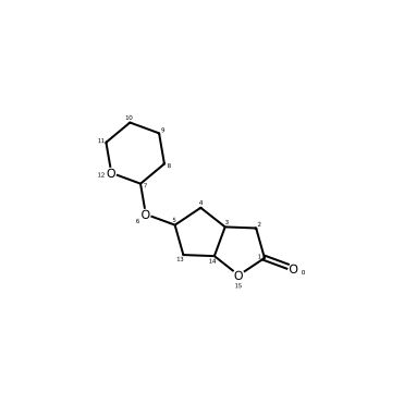 O=C1CC2CC(OC3CCCCO3)CC2O1